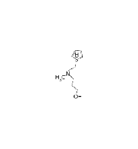 CN(CCCO)CC[SH]1C=CC=C1